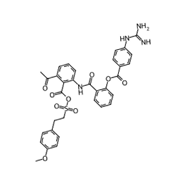 COc1ccc(CCS(=O)(=O)OC(=O)c2c(NC(=O)c3ccccc3OC(=O)c3ccc(NC(=N)N)cc3)cccc2C(C)=O)cc1